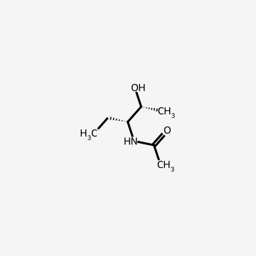 CC[C@@H](NC(C)=O)[C@@H](C)O